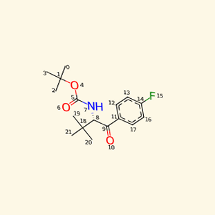 CC(C)(C)OC(=O)N[C@H](C(=O)c1ccc(F)cc1)C(C)(C)C